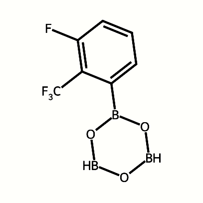 Fc1cccc(B2OBOBO2)c1C(F)(F)F